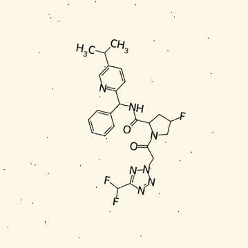 CC(C)c1ccc(C(NC(=O)C2CC(F)CN2C(=O)Cn2nnc(C(F)F)n2)c2ccccc2)nc1